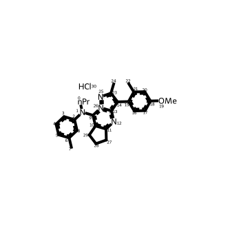 CCCN(c1cccc(C)c1)c1c2c(nc3c(-c4ccc(OC)cc4C)c(C)nn13)CCC2.Cl